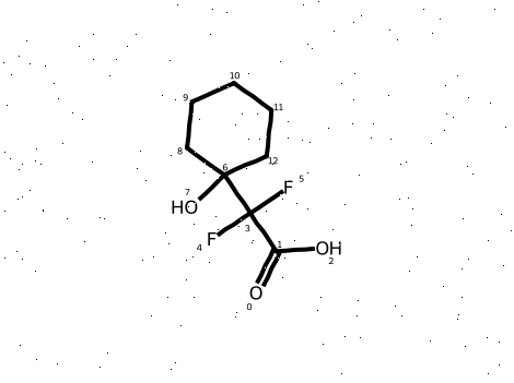 O=C(O)C(F)(F)C1(O)CCCCC1